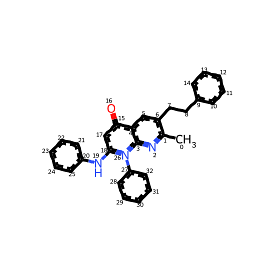 Cc1nc2c(cc1CCc1ccccc1)c(=O)cc(Nc1ccccc1)n2-c1ccccc1